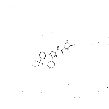 CCC(F)(F)c1cccc(-c2cc(NC(=O)[C@H]3CNC(=O)[C@@H]3C)nn2C2CCOCC2)c1